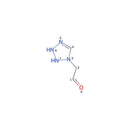 O=CCN1C=NNN1